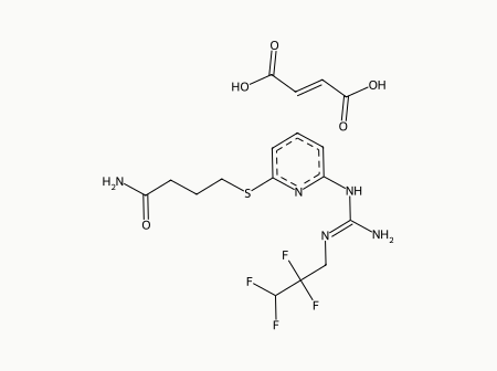 NC(=O)CCCSc1cccc(NC(N)=NCC(F)(F)C(F)F)n1.O=C(O)C=CC(=O)O